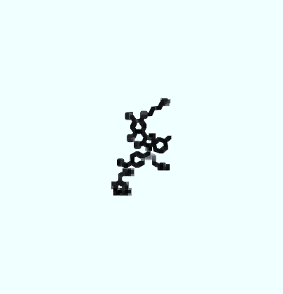 CC(C)CCCOc1cc(C2=NC3(CC=CC(C)C3)N([C@H](CCC(C)(C)C)c3ccc(C(=O)NCc4nn[nH]n4)cc3)C2=O)c(Cl)cc1Cl